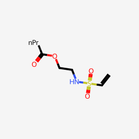 C=CS(=O)(=O)NCCOC(=O)CCC